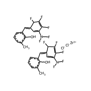 Cc1cccc(C=C2C=C(N(F)F)C(F)=C(F)C2F)c1O.Cc1cccc(C=C2C=C(N(F)F)C(F)=C(F)C2F)c1O.[Cl-].[Cl-].[Zr+2]